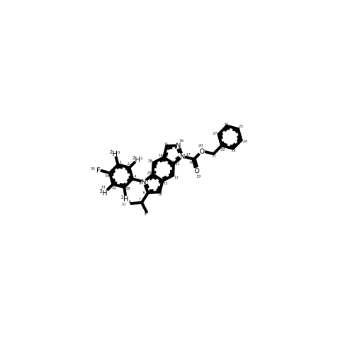 [2H]c1c([2H])c(-n2c(C(C)C)cc3cc4c(cnn4C(=O)OCc4ccccc4)cc32)c([2H])c([2H])c1F